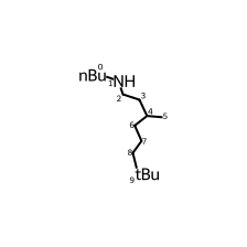 CCCCNCCC(C)CCCC(C)(C)C